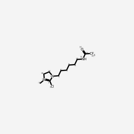 C[N+]1=C(Cl)N(CCCCCCNC(=O)C(F)(F)F)CC1